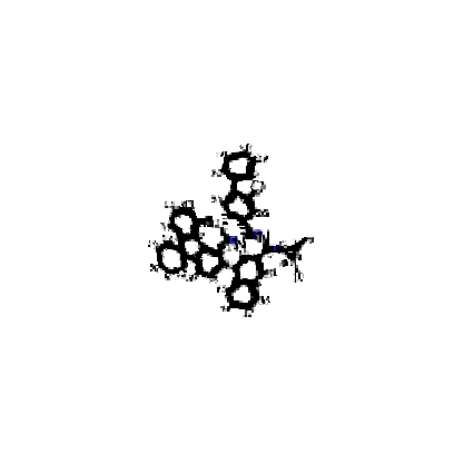 C\C(=N/C(=N\C(=C1/C(C)[C@H]1C)c1ccc2ccccc2c1)c1ccc2c(c1)oc1ccccc12)c1cccc2c1-c1c(C)cccc1C21CCCCC1